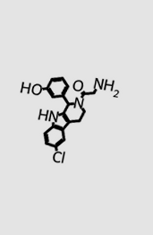 NCC(=O)N1CCc2c([nH]c3ccc(Cl)cc23)C1c1cccc(O)c1